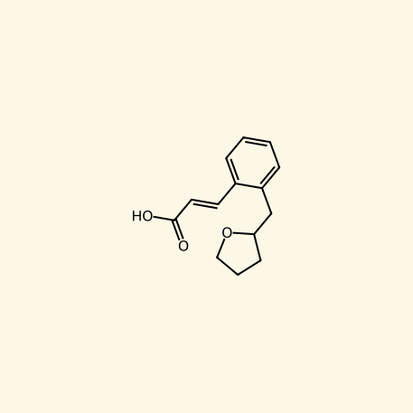 O=C(O)/C=C/c1ccccc1CC1CCCO1